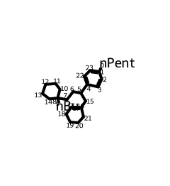 CCCCCc1ccc(C(CCC2(CCCC)CCCCC2)CC2=CCCCC2)cc1